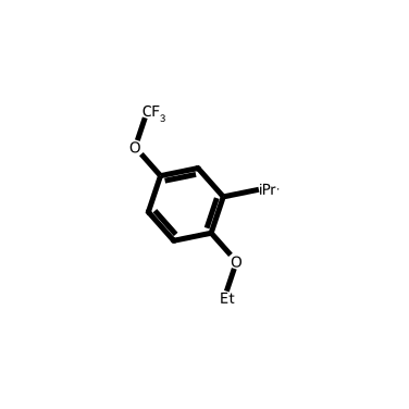 CCOc1ccc(OC(F)(F)F)cc1[C](C)C